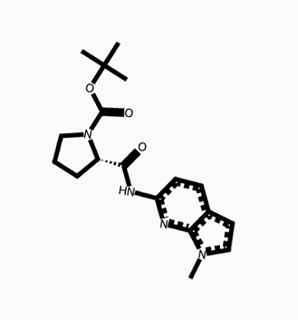 Cn1ccc2ccc(NC(=O)[C@@H]3CCCN3C(=O)OC(C)(C)C)nc21